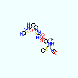 O=C(NS(=O)(=O)c1ccc(N[C@H](CCN2CCOCC2)CSc2ccccc2)c(C(F)(F)F)c1)c1csc(N2CCc3cccc(C(=O)Nc4nc5cnccc5s4)c3C2)n1